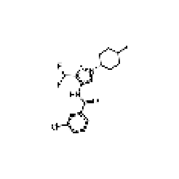 C[C@H]1CC[C@H](n2cc(NC(=O)c3cccc(Cl)c3)c(C(F)F)n2)CC1